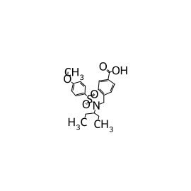 CCC(CC)N(Cc1ccc(C(=O)O)cc1)S(=O)(=O)c1ccc(OC)cc1